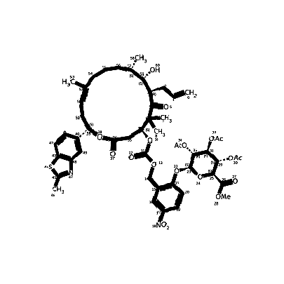 C=CC[C@H]1C(=O)C(C)(C)[C@@H](OC(=O)OCc2cc([N+](=O)[O-])ccc2O[C@@H]2O[C@H](C(=O)OC)[C@@H](OC(C)=O)[C@H](OC(C)=O)[C@H]2OC(C)=O)CC(=O)O[C@H](c2ccc3sc(C)nc3c2)CC=C(C)CCC[C@H](C)[C@@H]1O